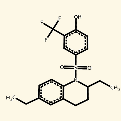 CCc1ccc2c(c1)CCC(CC)N2S(=O)(=O)c1ccc(O)c(C(F)(F)F)c1